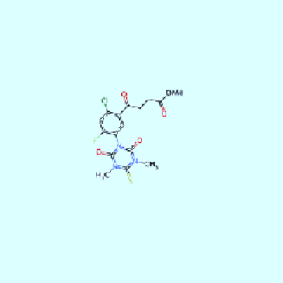 COC(=O)CCC(=O)c1cc(-n2c(=O)n(C)c(=S)n(C)c2=O)c(F)cc1Cl